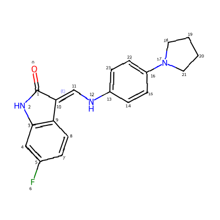 O=C1Nc2cc(F)ccc2/C1=C\Nc1ccc(N2CCCC2)cc1